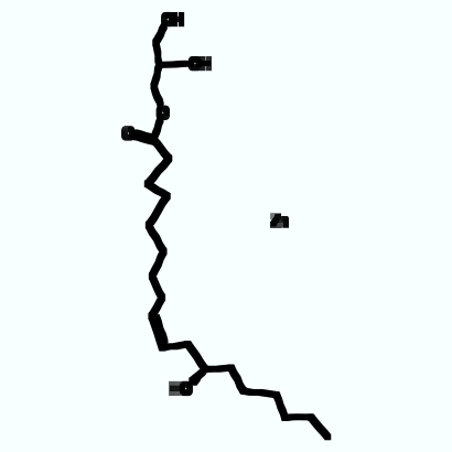 CCCCCC[C@@H](O)C/C=C\CCCCCCCC(=O)OCC(O)CO.[Zn]